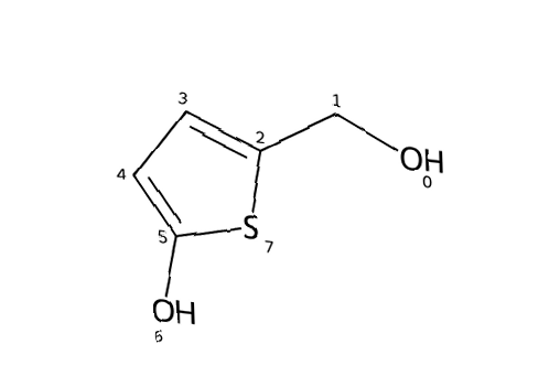 OCc1ccc(O)s1